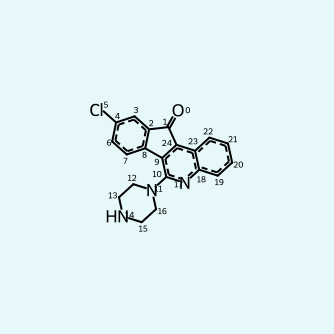 O=C1c2cc(Cl)ccc2-c2c(N3CCNCC3)nc3ccccc3c21